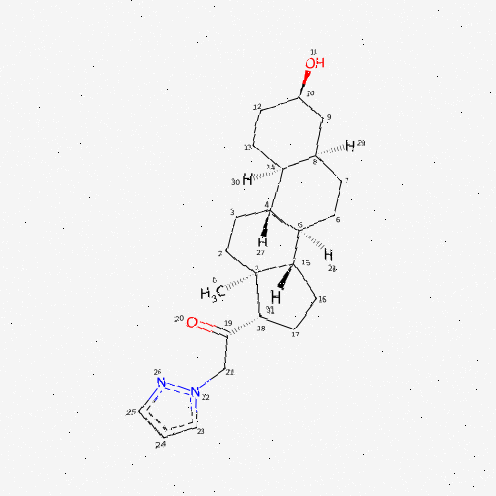 C[C@]12CC[C@H]3[C@@H](CC[C@@H]4C[C@H](O)CC[C@@H]43)[C@@H]1CC[C@@H]2C(=O)Cn1cccn1